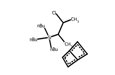 CCCC[Si](CCCC)(CCCC)C(C)C(C)Cl.c1cc2ccc1-2